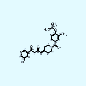 CC1=CC(C(=O)N2CCC(=CC(=O)CC(=O)c3cncc(F)c3)CC2)CC=C1OC(C)C